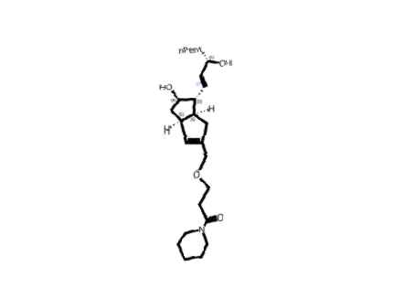 CCCCC[C@H](O)/C=C/[C@@H]1[C@H]2CC(COCCC(=O)N3CCCCC3)=C[C@H]2C[C@H]1O